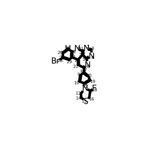 Nc1ncnc2nc(-c3ccc(N4CCSCC4F)cc3)cc(-c3cccc(Br)c3)c12